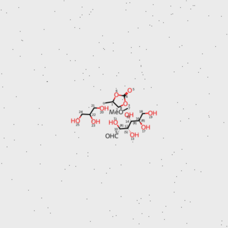 CC1COC(=O)O1.COC.O=C[C@H](O)[C@@H](O)[C@H](O)[C@H](O)CO.OCC(O)CO